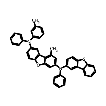 Cc1cccc(N(c2ccccc2)c2ccc3oc4cc(N(c5ccccc5)c5ccc6sc7ccccc7c6c5)cc(C)c4c3c2)c1